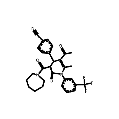 CC(=O)C1=C(C)N(c2cccc(C(F)(F)F)c2)C(=O)C(C(=O)N2CCCCCC2)C1c1ccc(C#N)cc1